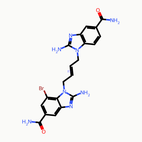 NC(=O)c1ccc2c(c1)nc(N)n2C/C=C/Cn1c(N)nc2cc(C(N)=O)cc(Br)c21